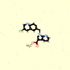 COC(=O)c1cn(Cc2ccc3ncc(Cl)cc3c2)c2ncccc12